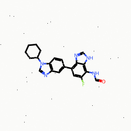 O=CNc1c(F)cc(-c2ccc3c(c2)ncn3C2CCCCC2)c2nc[nH]c12